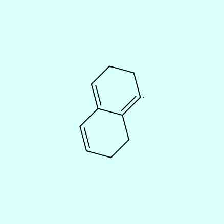 [C]1=C2CCC=CC2=CCC1